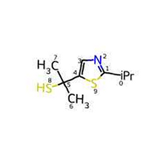 CC(C)c1ncc(C(C)(C)S)s1